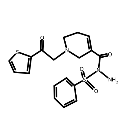 NN(C(=O)C1=CCCN(CC(=O)c2cccs2)C1)S(=O)(=O)c1ccccc1